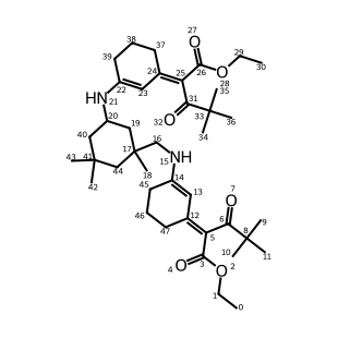 CCOC(=O)/C(C(=O)C(C)(C)C)=C1/C=C(NCC2(C)CC(NC3=C/C(=C(/C(=O)OCC)C(=O)C(C)(C)C)CCC3)CC(C)(C)C2)CCC1